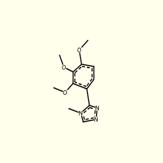 COc1ccc(-c2nncn2C)c(OC)c1OC